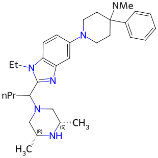 CCCC(c1nc2cc(N3CCC(NC)(c4ccccc4)CC3)ccc2n1CC)N1C[C@@H](C)N[C@@H](C)C1